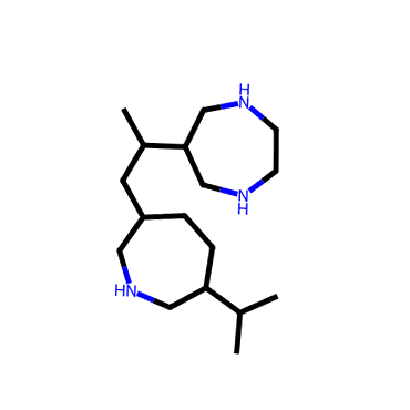 CC(C)C1CCC(CC(C)C2CNCCNC2)CNC1